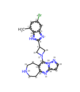 Cc1cc(Br)cc2nc(C3CN(c4c5c(nc6ccnn46)CCNCC5)C3)[nH]c12